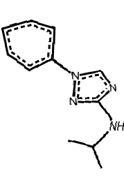 CC(C)Nc1ncn(-c2ccccc2)n1